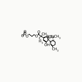 C=C(C)[C@@H]1CCC(C)=C[C@H]1c1c(O)cc(C(C)(C)C(=O)OCCCO[N+](=O)[O-])cc1O